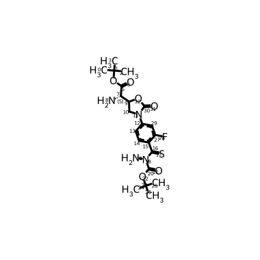 CC(C)(C)OC(=O)[C@@H](N)C1CN(c2ccc(C(=S)N(N)C(=O)OC(C)(C)C)c(F)c2)C(=O)O1